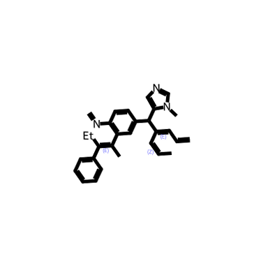 C=C/C=C(\C=C/C)C(c1ccc(N=C)c(/C(C)=C(\CC)c2ccccc2)c1)c1cncn1C